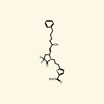 COC(=O)c1ccc(CCCN2C(=O)C(F)(F)CC2C=CC(O)CCCCc2ccccc2)s1